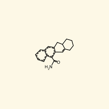 NC(=O)c1c2c(cc3ccccc13)CC1CCCCC1=C2